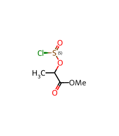 COC(=O)C(C)O[S@](=O)Cl